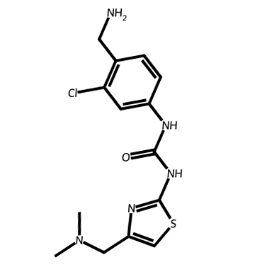 CN(C)Cc1csc(NC(=O)Nc2ccc(CN)c(Cl)c2)n1